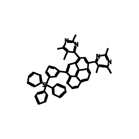 Cc1nc(C)c(C)c(-c2cc(-c3nc(C)nc(C)c3C)c3cc(-c4cccc([Si](c5ccccc5)(c5ccccc5)c5ccccc5)c4)c4cccc5ccc2c3c54)n1